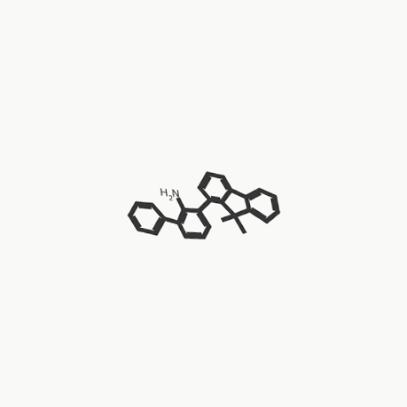 CC1(C)c2ccccc2-c2cccc(-c3cccc(-c4ccccc4)c3N)c21